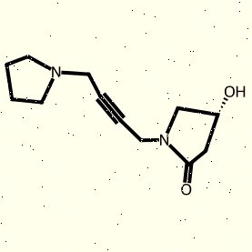 O=C1C[C@@H](O)CN1CC#CCN1CCCC1